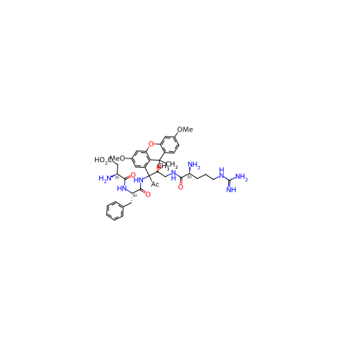 COc1ccc2c(c1)Oc1cc(OC)cc(C(NC(=O)[C@H](Cc3ccccc3)NC(=O)[C@@H](N)CC(=O)O)(C(C)=O)C(=O)CNC(=O)[C@@H](N)CCCNC(=N)N)c1C2(C)C